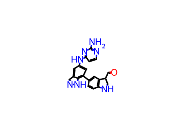 Nc1nccc(Nc2cc(-c3ccc4c(c3)C(C=O)CN4)c3[nH]ncc3c2)n1